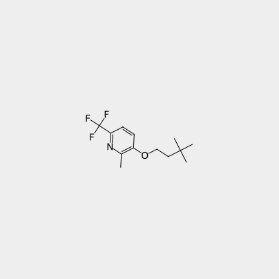 Cc1nc(C(F)(F)F)ccc1OCCC(C)(C)C